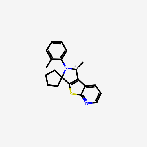 Cc1ccccc1N1[C@@H](C)c2c(sc3ncccc23)C12CCCC2